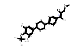 COC/C(F)=C(\F)c1ccc(C2CCC(c3cc(F)c(OC(F)(F)F)c(F)c3)CC2)cc1